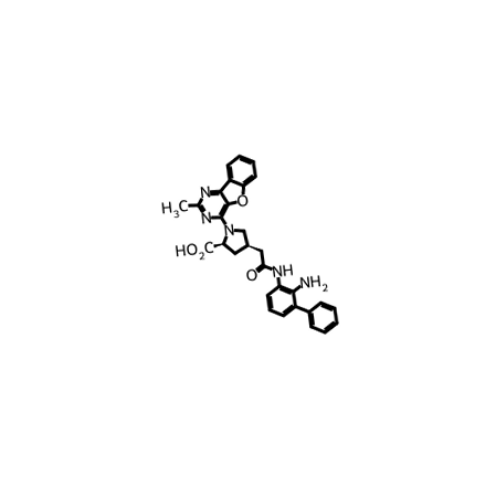 Cc1nc(N2C[C@@H](CC(=O)Nc3cccc(-c4ccccc4)c3N)C[C@H]2C(=O)O)c2oc3ccccc3c2n1